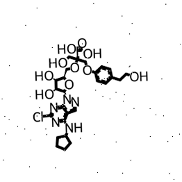 O=P(O)(O)C(CO)(COc1ccc(CCO)cc1)OC[C@H]1O[C@@H](n2ncc3c(NC4CCCC4)nc(Cl)nc32)[C@H](O)[C@@H]1O